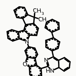 CC1(C)c2ccccc2-c2c1ccc1c2c2ccccc2n1-c1ccc2c(c1)oc1cccc(C3=NC(c4ccc(-c5ccccc5)cc4)=C4C=CC=CC4N3)c12